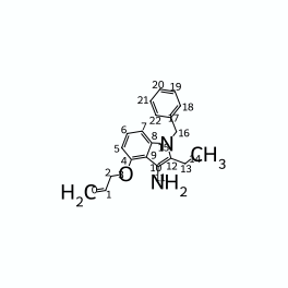 C=CCOc1cccc2c1c(N)c(CC)n2Cc1ccccc1